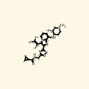 CN1CC[C@@H](Nc2cccn3c(C(F)=C(F)F)c(-c4noc(CNC(=O)C5CC5)n4)nc23)[C@@H](F)C1